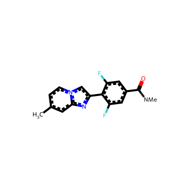 CNC(=O)c1cc(F)c(-c2cn3ccc(C)cc3n2)c(F)c1